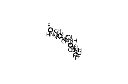 Cc1ccc(Nc2nccc(N(C)c3ccc4c(c3)nc(Nc3ccc(F)cc3)n4C)n2)cc1S(=O)(=O)NOC(=O)C(F)(F)F